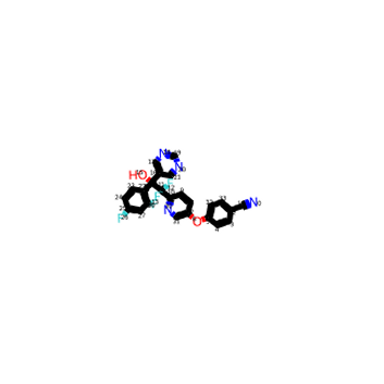 N#Cc1ccc(Oc2ccc(C(F)(F)C(O)(c3cncnc3)c3ccc(F)cc3F)nc2)cc1